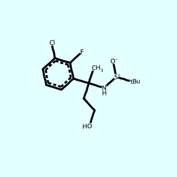 CC(CCO)(N[S+]([O-])C(C)(C)C)c1cccc(Cl)c1F